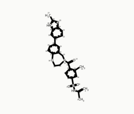 C=C(C)NS(=O)(=O)c1ccc(C(=O)N2CCOc3ccc(-c4ccc5nc(C)[nH]c5c4)cc3C2)c(C)c1